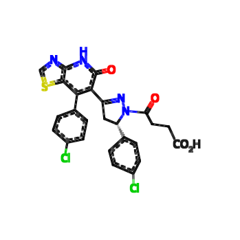 O=C(O)CCC(=O)N1N=C(c2c(-c3ccc(Cl)cc3)c3scnc3[nH]c2=O)C[C@H]1c1ccc(Cl)cc1